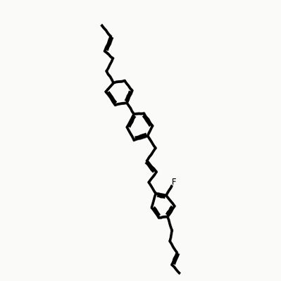 C/C=C/CCc1ccc(C/C=C/Cc2ccc(C3=CCC(CC/C=C/C)C=C3)cc2)c(F)c1